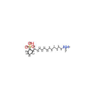 CC(C)NCCCCCCCCCCCCc1ccccc1S(=O)(=O)O